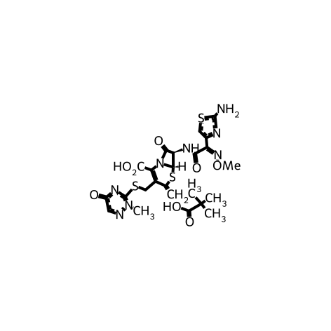 C=C1S[C@@H]2[C@H](NC(=O)/C(=N\OC)c3csc(N)n3)C(=O)N2C(C(=O)O)=C1CSc1nc(=O)cnn1C.CC(C)(C)C(=O)O